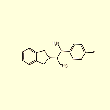 NC(c1ccc(F)cc1)C(C=O)N1Cc2ccccc2C1